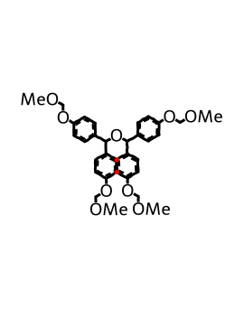 COCOc1ccc(C(OC(c2ccc(OCOC)cc2)c2ccc(OCOC)cc2)c2ccc(OCOC)cc2)cc1